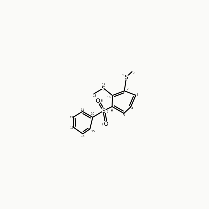 CSc1cccc(S(=O)(=O)c2ccccc2)c1SC